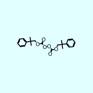 CC(C)(COC(=O)OOC(=O)OCC(C)(C)c1ccccc1)c1ccccc1